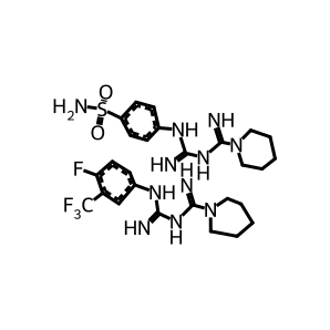 N=C(NC(=N)N1CCCCC1)Nc1ccc(F)c(C(F)(F)F)c1.N=C(NC(=N)N1CCCCC1)Nc1ccc(S(N)(=O)=O)cc1